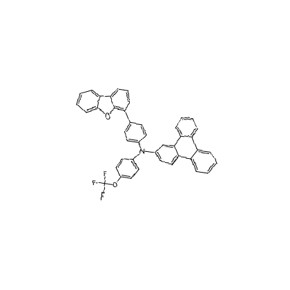 FC(F)(F)Oc1ccc(N(c2ccc(-c3cccc4c3oc3ccccc34)cc2)c2ccc3c4ccccc4c4ccccc4c3c2)cc1